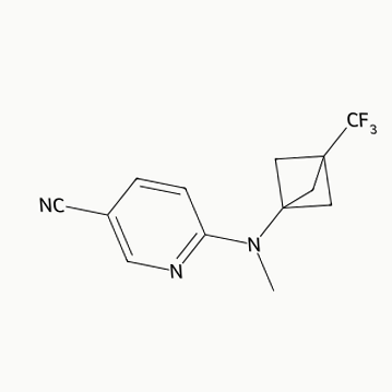 CN(c1ccc(C#N)cn1)C12CC(C(F)(F)F)(C1)C2